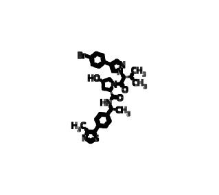 Cc1ncsc1-c1ccc([C@H](C)NC(=O)[C@@H]2C[C@@H](O)CN2C(=O)[C@@H](C(C)C)n2cc(-c3ccc(Br)cc3)cn2)cc1